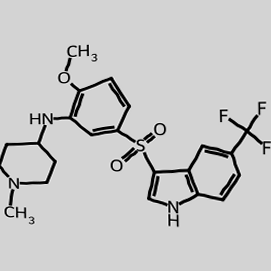 COc1ccc(S(=O)(=O)c2c[nH]c3ccc(C(F)(F)F)cc23)cc1NC1CCN(C)CC1